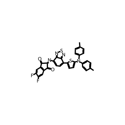 Cc1ccc(N(c2ccc(C)cc2)c2ccc(-c3ccc(N=c4c(=O)c5cc(F)c(F)cc5c4=O)c4nsnc34)s2)cc1